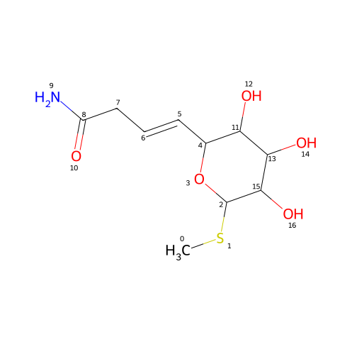 CSC1OC(C=CCC(N)=O)C(O)C(O)C1O